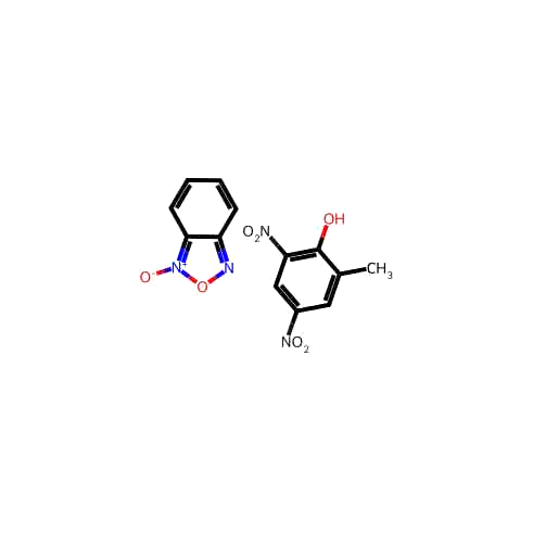 Cc1cc([N+](=O)[O-])cc([N+](=O)[O-])c1O.[O-][n+]1onc2ccccc21